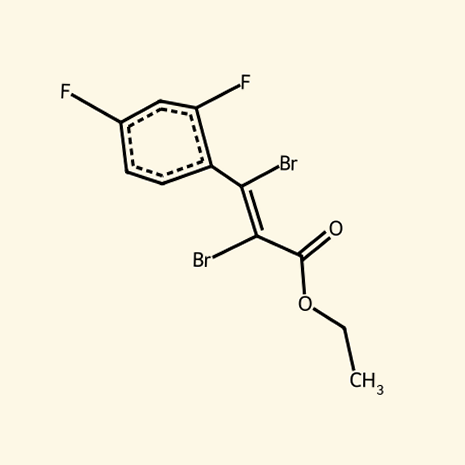 CCOC(=O)C(Br)=C(Br)c1ccc(F)cc1F